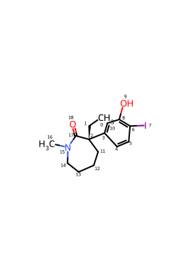 CC[C@@]1(c2ccc(I)c(O)c2)CCCCN(C)C1=O